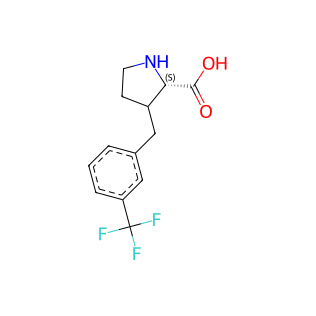 O=C(O)[C@H]1NCCC1Cc1cccc(C(F)(F)F)c1